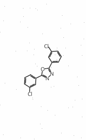 Clc1cccc(-c2nnc(-c3cccc(Cl)c3)o2)c1